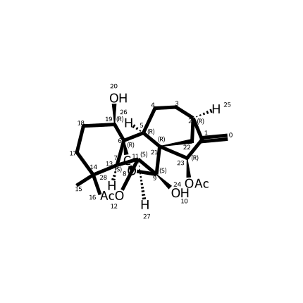 C=C1[C@@H]2CC[C@@H]3[C@]45CO[C@](O)([C@@H](OC(C)=O)[C@H]4C(C)(C)CC[C@H]5O)[C@@]3(C2)[C@@H]1OC(C)=O